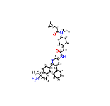 CN(C(=O)CC1CC1)[C@H]1CC[C@H](CC(=O)Nc2cnc(-c3ccc(C(C)(C)N)cc3)c(-c3ccccc3)c2)CC1